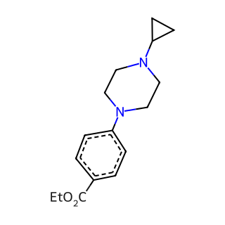 CCOC(=O)c1ccc(N2CCN(C3CC3)CC2)cc1